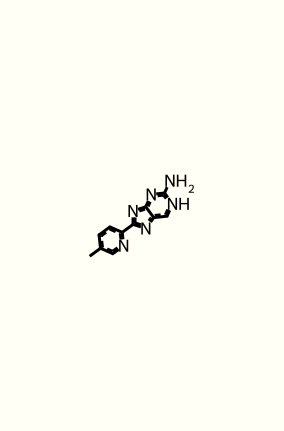 Cc1ccc(-c2nc3c[nH]c(N)nc-3n2)nc1